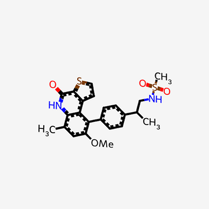 COc1cc(C)c2[nH]c(=O)c3sccc3c2c1-c1ccc(C(C)CNS(C)(=O)=O)cc1